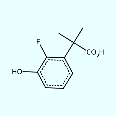 CC(C)(C(=O)O)c1cccc(O)c1F